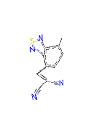 Cc1ccc(C=C(C#N)C#N)c2nsnc12